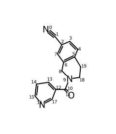 N#Cc1ccc2c(c1)CN(C(=O)c1cccnc1)CC2